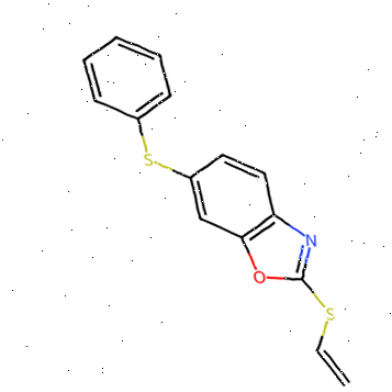 C=CSc1nc2ccc(Sc3ccccc3)cc2o1